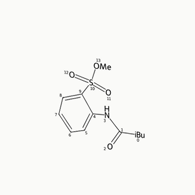 CCC(C)C(=O)Nc1ccccc1S(=O)(=O)OC